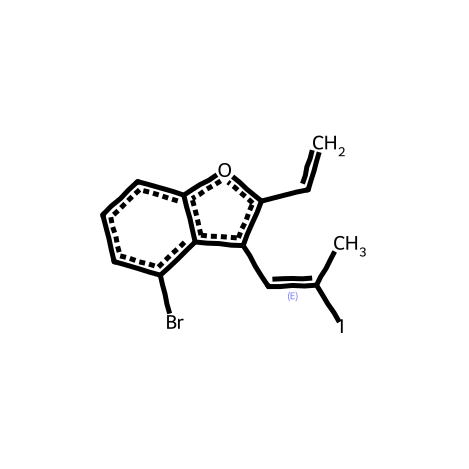 C=Cc1oc2cccc(Br)c2c1/C=C(\C)I